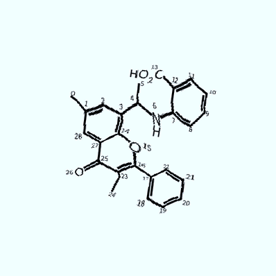 Cc1cc(C(C)Nc2ccccc2C(=O)O)c2oc(-c3ccccc3)c(C)c(=O)c2c1